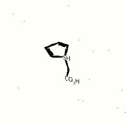 O=C(O)C[SH]1C=CC=C1